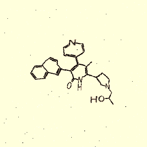 Cc1c(C2CCN(CC(C)O)C2)[nH]c(=O)c(-c2ccc3ccccc3c2)c1-c1ccncc1